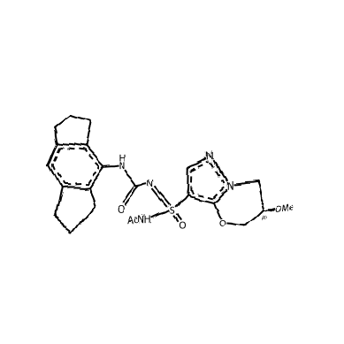 CO[C@H]1COc2c(S(=O)(=NC(=O)Nc3c4c(cc5c3CCC5)CCC4)NC(C)=O)cnn2C1